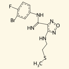 CSCCNc1nonc1C(=N)Nc1ccc(F)c(Br)c1